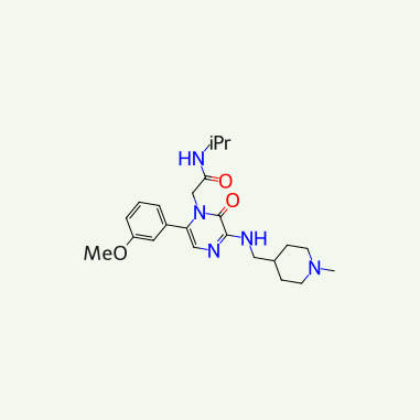 COc1cccc(-c2cnc(NCC3CCN(C)CC3)c(=O)n2CC(=O)NC(C)C)c1